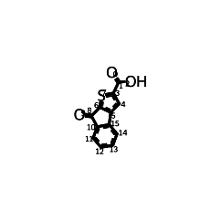 O=C(O)c1cc2c(s1)C(=O)c1ccccc1-2